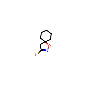 BrC1=NOC2(CCCCC2)C1